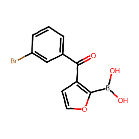 O=C(c1cccc(Br)c1)c1ccoc1B(O)O